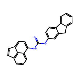 N=C(Nc1ccc2c(c1)Cc1ccccc1-2)Nc1ccc2c3c(cccc13)C=C2